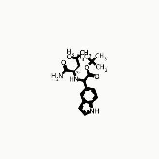 CC(C)C[C@@H](NC(C(=O)OC(C)(C)C)c1ccc2[nH]ccc2c1)C(N)=O